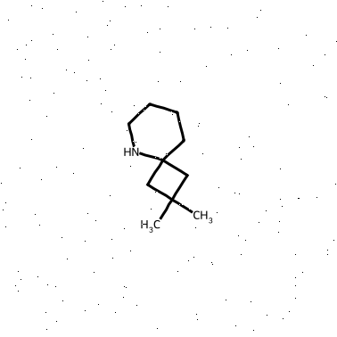 CC1(C)CC2(CCCCN2)C1